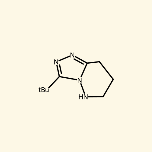 CC(C)(C)c1nnc2n1NCCC2